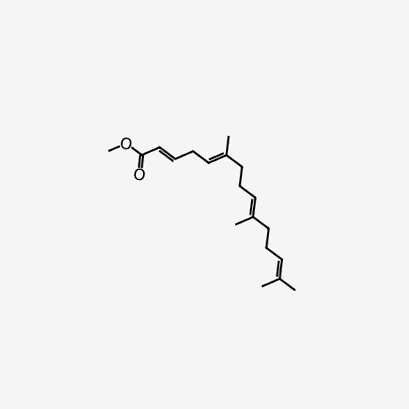 COC(=O)/C=C/C/C=C(\C)CC/C=C(\C)CCC=C(C)C